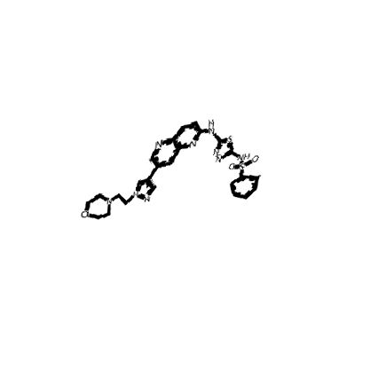 O=S(=O)(Nc1nnc(Nc2ccc3ncc(-c4cnn(CCN5CCOCC5)c4)cc3n2)s1)c1ccccc1